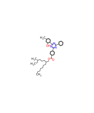 CCCCCCCC(CCCC(C)CC)COC(=O)c1ccc(-c2nc(-c3ccccc3)nc(-c3ccc(C)cc3O)n2)cc1